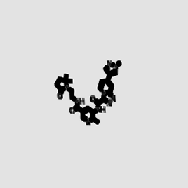 Cc1ncc(C(=O)NCCN2C(=O)CCC2(C)C)cc1NC(=O)c1nnc2cc(-c3cnn(C)c3)ccn12